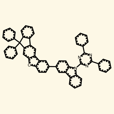 c1ccc(-c2nc(-c3ccccc3)nc(-n3c4ccccc4c4cc(-c5ccc6oc7cc8c(cc7c6c5)-c5ccccc5C8(c5ccccc5)c5ccccc5)ccc43)n2)cc1